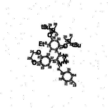 CCc1cc(-c2nnn(Cc3ccc(C)cc3)c2-c2ccc3c(c2)OCCO3)c(O[Si](C)(C)C(C)(C)C)cc1O[Si](C)(C)C(C)(C)C